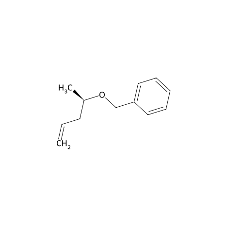 C=CC[C@@H](C)OCc1ccccc1